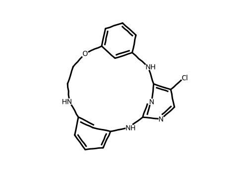 Clc1cnc2nc1Nc1cccc(c1)OCCNc1cccc(c1)N2